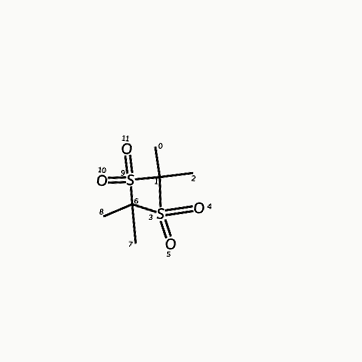 CC1(C)S(=O)(=O)C(C)(C)S1(=O)=O